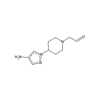 Nc1cnn(C2CCN(CC=O)CC2)c1